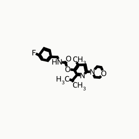 Cc1cc(N2CCOCC2)nc(C(C)C)c1OC(=O)NCc1ccc(F)cc1